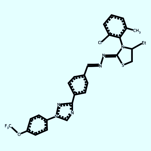 CCC1CS/C(=N\N=C\c2ccc(-c3ncn(-c4ccc(OC(F)(F)F)cc4)n3)cc2)N1c1c(C)cccc1Cl